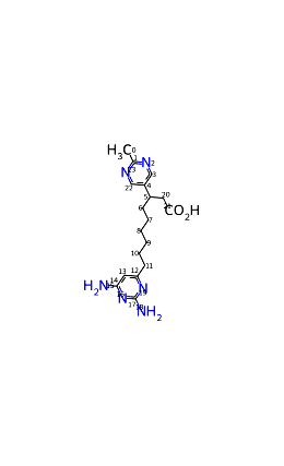 Cc1ncc(C(CCCCCCc2cc(N)nc(N)n2)CC(=O)O)cn1